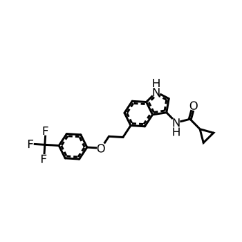 O=C(Nc1c[nH]c2ccc(CCOc3ccc(C(F)(F)F)cc3)cc12)C1CC1